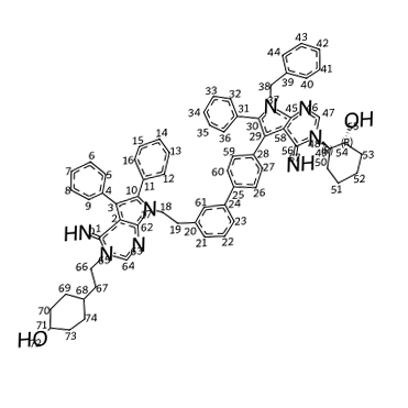 N=c1c2c(-c3ccccc3)c(-c3ccccc3)n(CCc3cccc(-c4ccc(-c5c(-c6ccccc6)n(Cc6ccccc6)c6ncn([C@@H]7CCCC[C@H]7O)c(=N)c56)cc4)c3)c2ncn1CCC1CCC(O)CC1